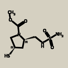 COC(=O)N1C[C@@H](S)C[C@H]1CNS(N)(=O)=O